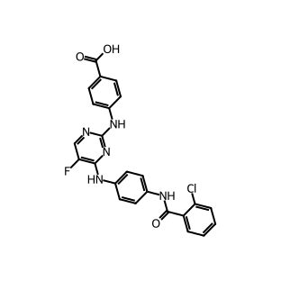 O=C(O)c1ccc(Nc2ncc(F)c(Nc3ccc(NC(=O)c4ccccc4Cl)cc3)n2)cc1